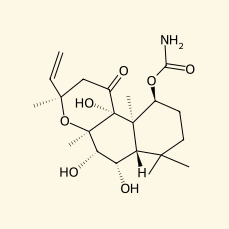 C=C[C@@]1(C)CC(=O)[C@@]2(O)[C@@]3(C)[C@@H](OC(N)=O)CCC(C)(C)[C@@H]3[C@H](O)[C@H](O)[C@@]2(C)O1